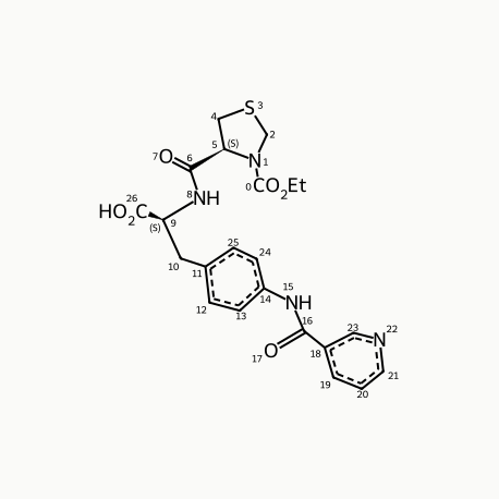 CCOC(=O)N1CSC[C@@H]1C(=O)N[C@@H](Cc1ccc(NC(=O)c2cccnc2)cc1)C(=O)O